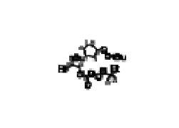 CC(C)(C)OOC1CCCCC1.CCCCC(CC)COC(=O)OOOC(C)(C)CC